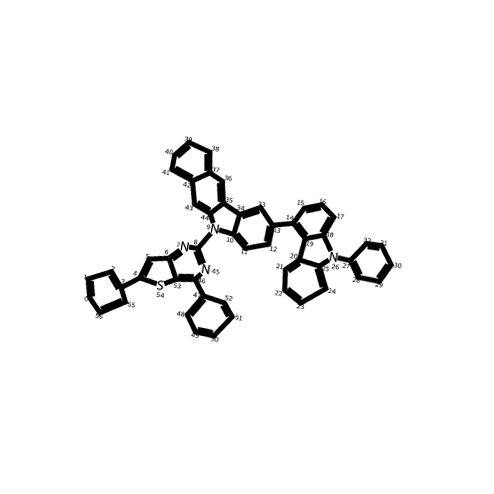 c1ccc(-c2cc3nc(-n4c5ccc(-c6cccc7c6c6ccccc6n7-c6ccccc6)cc5c5cc6ccccc6cc54)nc(-c4ccccc4)c3s2)cc1